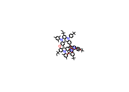 CCC(C)(C)c1cc2c3c(c1)N(c1c(C)cc(C)cc1C)c1cc4c(cc1B3c1cc3c(cc1O2)N(c1c(C)cc(C)cc1C)c1cc(C(C)(C)CC)cc2c1B3c1cc(C(C)(C)C)ccc1N2c1ccc(C(C)(C)C)cc1)B1c2cc(C(C)(C)C)ccc2N(c2ccc(C(C)(C)C)cc2)c2cc(C(C)(C)CC)cc(c21)N4c1ccc(C(C)(C)C)cc1